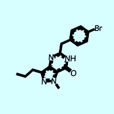 CCCc1nn(C)c2c(=O)[nH]c(Cc3ccc(Br)cc3)nc12